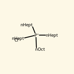 CCCCCCCC[P+](CCCCCCC)(CCCCCCC)CCCCCCC.[Cl-]